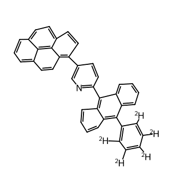 [2H]c1c([2H])c([2H])c(-c2c3ccccc3c(-c3ccc(-c4ccc5ccc6cccc7ccc4c5c67)cn3)c3ccccc23)c([2H])c1[2H]